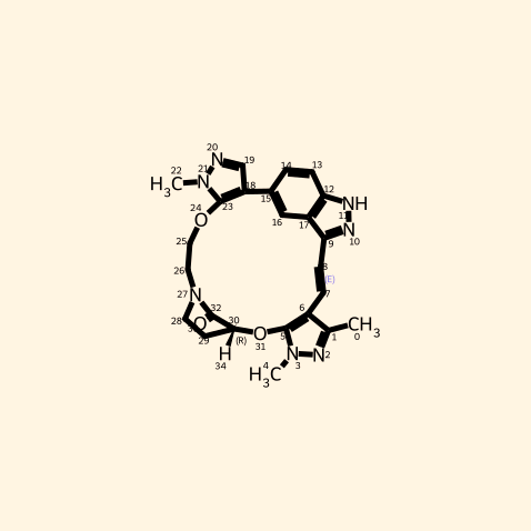 Cc1nn(C)c2c1/C=C/c1n[nH]c3ccc(cc13)-c1cnn(C)c1OCCN1CC[C@@H](O2)C1=O